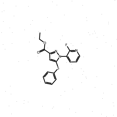 CCOC(=O)c1cc(Sc2ccccc2)n(-c2cccnc2F)n1